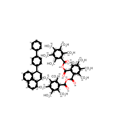 C1=CC(c2ccc(-c3ccccc3)cc2)c2cccc3cccc1c23.O=C(O)c1c(C(=O)O)c(C(=O)O)c(C(=O)OC(=O)c2c(C(=O)O)c(C(=O)O)c(C(=O)O)c(C(=O)O)c2C(=O)OC(=O)c2c(C(=O)O)c(C(=O)O)c(C(=O)O)c(C(=O)O)c2C(=O)O)c(C(=O)O)c1C(=O)O